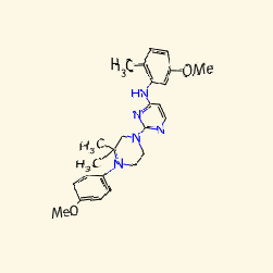 COc1ccc(N2CCN(c3nccc(Nc4cc(OC)ccc4C)n3)CC2(C)C)cc1